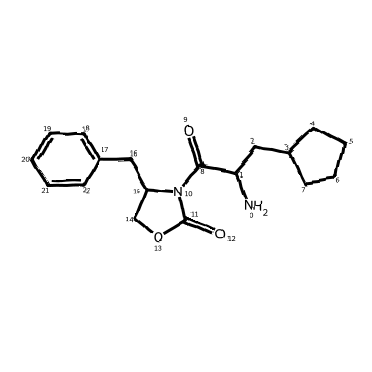 NC(CC1CCCC1)C(=O)N1C(=O)OCC1Cc1ccccc1